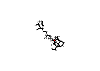 C=C(C)C(C)(N)/C(C)=C/C=C/C(=O)OBOC(=O)C1C2=C(CC)CC(C)(N)C(C)=C1CC2